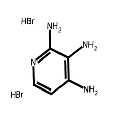 Br.Br.Nc1ccnc(N)c1N